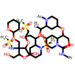 CC(=O)N1CCC(OC(CO)C2CC(OC(CO)C3CC(OC(CO)C(COC4C[CH]CCO4)(NS(C)(=O)=O)C(CO)OCCS(C)(=O)=O)CCN3S(C)(=O)=O)CCN2C(=O)NC(C)C)CC1C(C)O